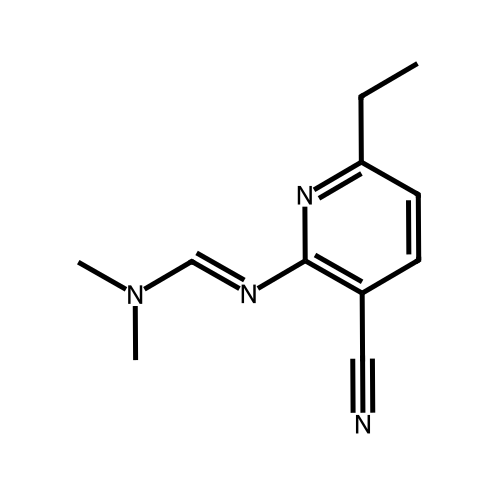 CCc1ccc(C#N)c(N=CN(C)C)n1